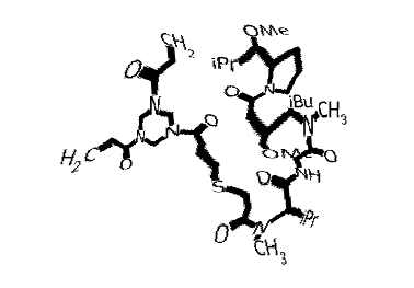 C=CC(=O)N1CN(C(=O)C=C)CN(C(=O)CCSCC(=O)N(C)C(C(=O)NCC(=O)N(C)C(C(C)CC)C(CC(=O)N2CCCC2C(OC)C(C)C)OC)C(C)C)C1